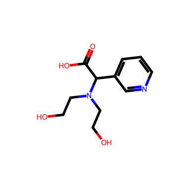 O=C(O)C(c1cccnc1)N(CCO)CCO